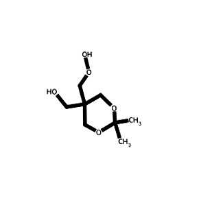 CC1(C)OCC(CO)(COO)CO1